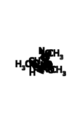 COc1cc(-c2ccc(OC)c3nc(C4(COC(=O)NC(C)C)CC4)nn23)ccc1C#N